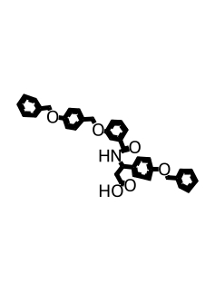 O=C(O)CC(NC(=O)c1cccc(OCc2ccc(OCc3ccccc3)cc2)c1)c1ccc(OCc2ccccc2)cc1